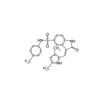 Cc1cc(C)c(C=C2C(=O)Nc3ccc(S(=O)(=O)Nc4ccc(C(F)(F)F)cc4)cc32)[nH]1